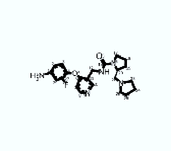 Nc1ccc(Oc2ccncc2CNC(=O)N2CCC[C@H]2CN2CCCC2)c(F)c1